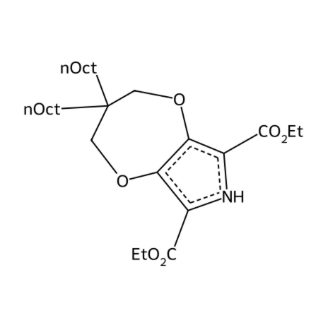 CCCCCCCCC1(CCCCCCCC)COc2c(C(=O)OCC)[nH]c(C(=O)OCC)c2OC1